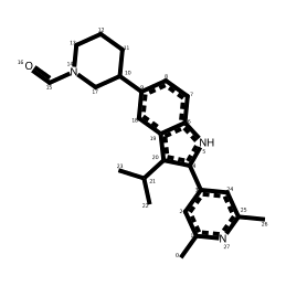 Cc1cc(-c2[nH]c3ccc(C4CCCN(C=O)C4)cc3c2C(C)C)cc(C)n1